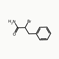 NC(=O)C(Br)Cc1ccccc1